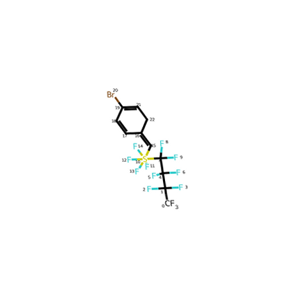 FC(F)(F)C(F)(F)C(F)(F)C(F)(F)S(F)(F)(F)(F)C=C1C=CC(Br)=CC1